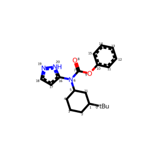 CC(C)(C)C1CCCC(N(C(=O)Oc2ccccc2)c2ccn[nH]2)C1